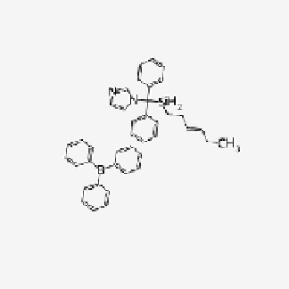 CCC=CCC[SiH2]C(c1ccccc1)(c1ccccc1)n1ccnc1.c1ccc(B(c2ccccc2)c2ccccc2)cc1